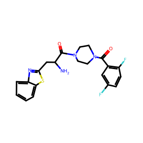 NC(Cc1nc2ccccc2s1)C(=O)N1CCN(C(=O)c2cc(F)ccc2F)CC1